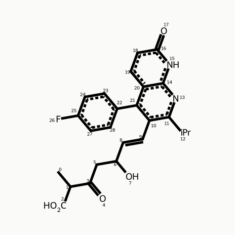 CC(C(=O)O)C(=O)CC(O)C=Cc1c(C(C)C)nc2[nH]c(=O)ccc2c1-c1ccc(F)cc1